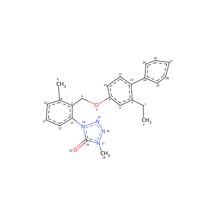 CCc1cc(OCc2c(C)cccc2-n2nnn(C)c2=O)ccc1-c1ccccc1